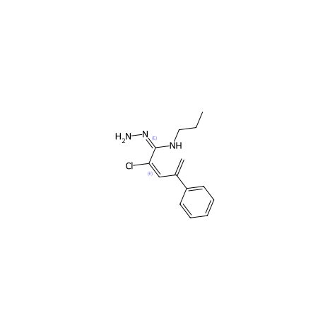 C=C(/C=C(Cl)\C(=N/N)NCCC)c1ccccc1